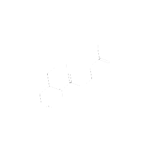 CCCC(C)CC(CC(=O)O)NC(=O)O[C@@H](C)OC(=O)C(C)C